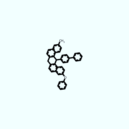 Cc1ccc2c3c(ccc2c1)Cc1ccc2cc(Oc4ccccc4)ccc2c1C3c1ccc(-c2ccccc2)cc1